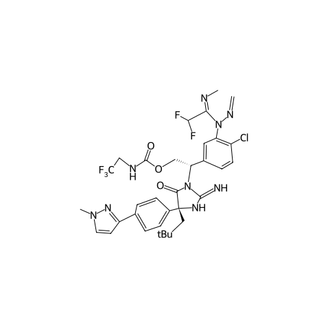 C=NN(/C(=N\C)C(F)F)c1cc([C@@H](COC(=O)NCC(F)(F)F)N2C(=N)N[C@](CC(C)(C)C)(c3ccc(-c4ccn(C)n4)cc3)C2=O)ccc1Cl